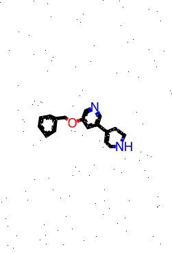 C1=C(c2cncc(OCc3ccccc3)c2)CCNC1